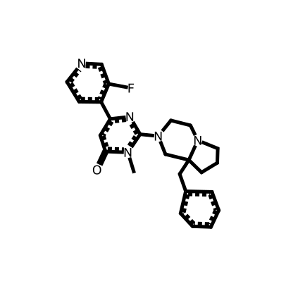 Cn1c(N2CCN3CCCC3(Cc3ccccc3)C2)nc(-c2ccncc2F)cc1=O